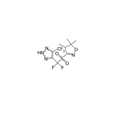 CC1C(S(=O)(=O)C(F)(F)c2n[nH]nc2C(F)(F)F)=NOC1(C)C